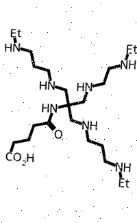 CCNCCCNCC(CNCCCNCC)(CNCCNCC)NC(=O)CCCC(=O)O